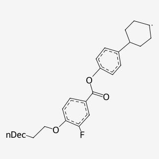 CCCCCCCCCCCCOc1ccc(C(=O)Oc2ccc(C3CC[CH]CC3)cc2)cc1F